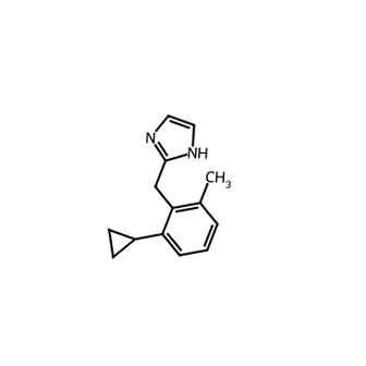 Cc1cccc(C2CC2)c1Cc1ncc[nH]1